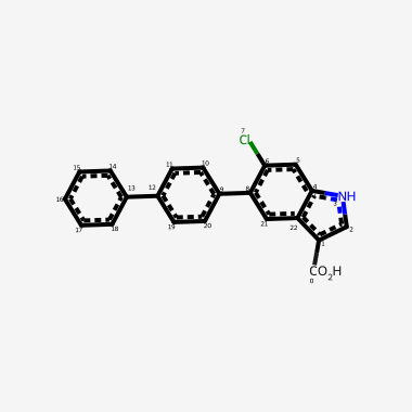 O=C(O)c1c[nH]c2cc(Cl)c(-c3ccc(-c4ccccc4)cc3)cc12